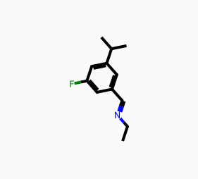 CC/N=C/c1cc(F)cc(C(C)C)c1